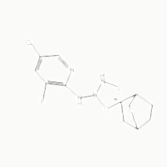 Fc1cc(Cl)cnc1NN1NC[C@]2(CC3CCC2CC3)O1